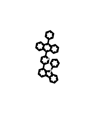 c1ccc(-c2c3ccccc3c(-c3ccc(-c4cccc5c6ccccc6n(-c6ccccc6)c45)cn3)c3ccccc23)cc1